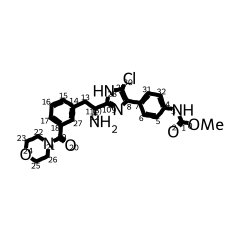 COC(=O)Nc1ccc(-c2nc([C@@H](N)Cc3cccc(C(=O)N4CCOCC4)c3)[nH]c2Cl)cc1